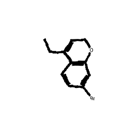 CCC1=CCOc2cc(Br)ccc21